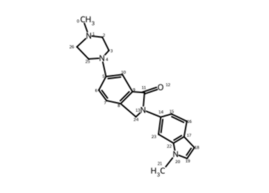 CN1CCN(c2ccc3c(c2)C(=O)N(c2ccc4ccn(C)c4c2)C3)CC1